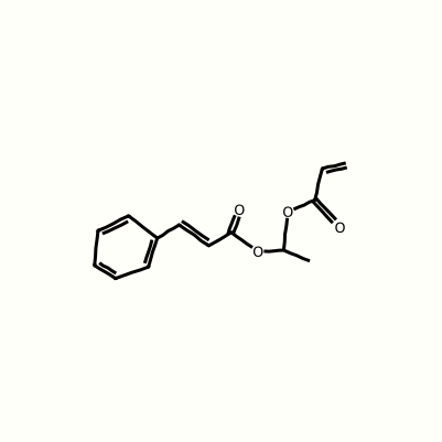 C=CC(=O)OC(C)OC(=O)C=Cc1ccccc1